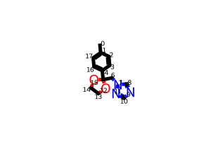 Cc1ccc(C2(Cn3cncn3)OCCO2)cc1